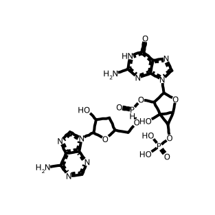 Nc1nc2c(ncn2C2OC3C(OP(=O)(O)O)C3(O)C2O[PH](=O)OCC2CC(O)C(n3cnc4c(N)ncnc43)O2)c(=O)[nH]1